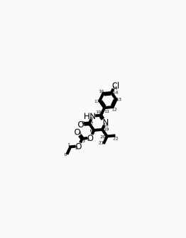 CCOC(=O)OC1C(=O)NC(c2ccc(Cl)cc2)=NC1C(C)C